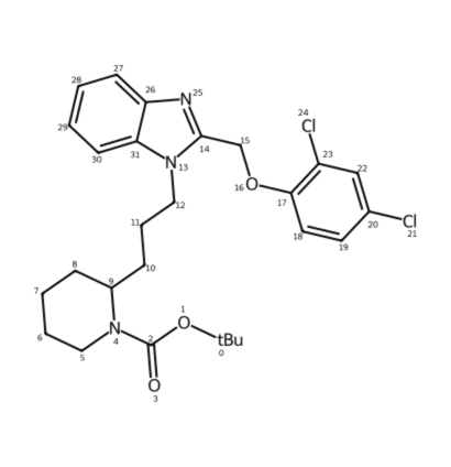 CC(C)(C)OC(=O)N1CCCCC1CCCn1c(COc2ccc(Cl)cc2Cl)nc2ccccc21